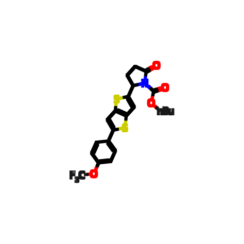 CCCCOC(=O)N1C(=O)CCC1c1cc2sc(-c3ccc(OC(F)(F)F)cc3)cc2s1